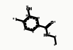 CCNC(=O)c1ccc(I)c(O)c1